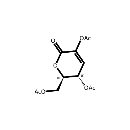 CC(=O)OC[C@H]1OC(=O)C(OC(C)=O)=C[C@@H]1OC(C)=O